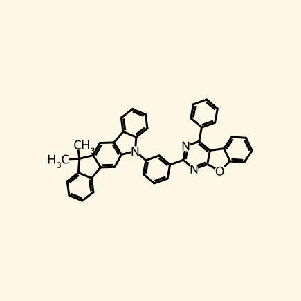 CC1(C)c2ccccc2-c2cc3c(cc21)c1ccccc1n3-c1cccc(-c2nc(-c3ccccc3)c3c(n2)oc2ccccc23)c1